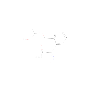 CCOC(C)OCc1ccccc1/C(=N/O)C(=O)NC